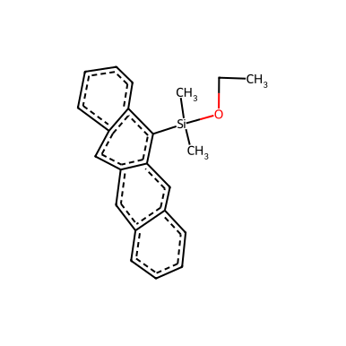 CCO[Si](C)(C)c1c2ccccc2cc2cc3ccccc3cc12